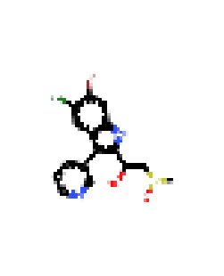 C[S+]([O-])CC(O)c1[nH]c2cc(Br)c(Cl)cc2c1-c1cccnc1